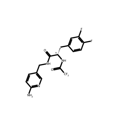 Nc1ccc(CNC(=O)[C@H](Cc2ccc(F)c(F)c2)NC(=O)C(F)(F)F)cn1